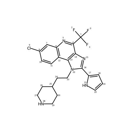 FC(F)(F)c1nc2cc(Cl)ccc2c2c1nc(-c1ccc[nH]1)n2CCC1CCNCC1